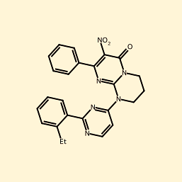 CCc1ccccc1-c1nccc(N2CCCn3c2nc(-c2ccccc2)c([N+](=O)[O-])c3=O)n1